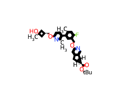 Cc1cc(F)c(COc2cc3c(cn2)[C@H]2[C@@H](C3)[C@@H]2C(=O)OC(C)(C)C)cc1-c1ccc(OC[C@H]2C[C@@](C)(O)C2)nc1C